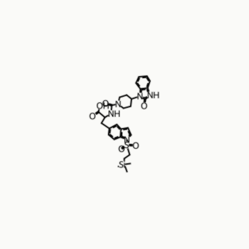 C[Si](C)(C)CCS(=O)(=O)n1ccc2cc(CC(NC(=O)N3CCC(n4c(=O)[nH]c5ccccc54)CC3)C(=O)O)ccc21